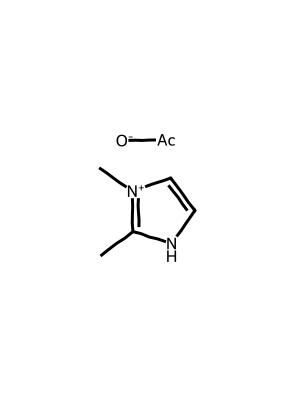 CC(=O)[O-].Cc1[nH]cc[n+]1C